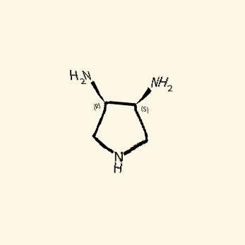 N[C@@H]1CNC[C@@H]1N